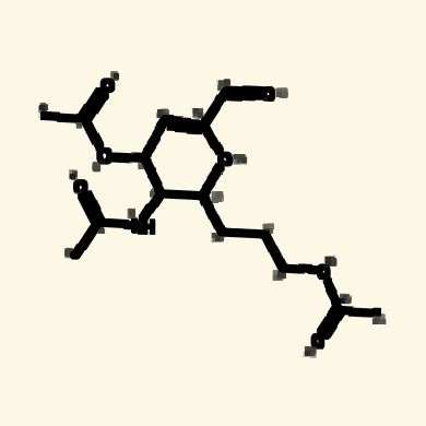 CC(=O)NC1C(OC(C)=O)C=C(C=O)OC1CCCOC(C)=O